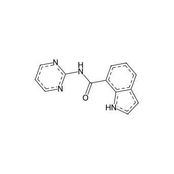 O=C(Nc1ncccn1)c1cccc2cc[nH]c12